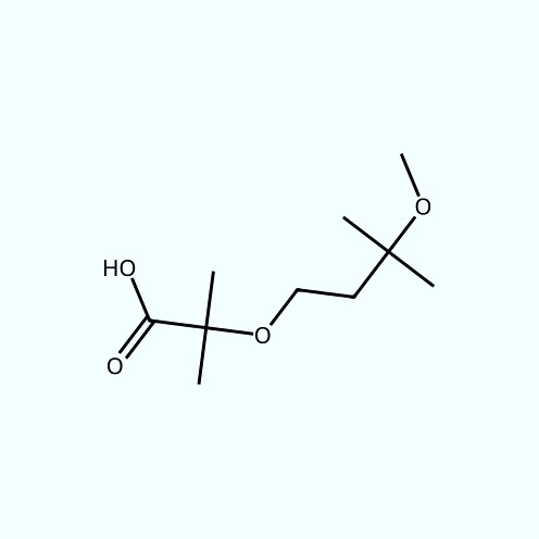 COC(C)(C)CCOC(C)(C)C(=O)O